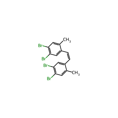 Cc1cc(Br)c(Br)cc1/C=C\c1cc(Br)c(Br)cc1C